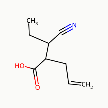 C=CCC(C(=O)O)C(C#N)CC